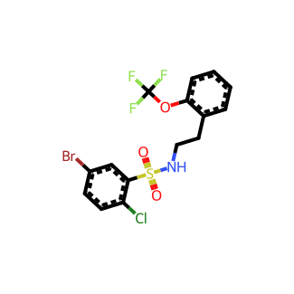 O=S(=O)(NCCc1ccccc1OC(F)(F)F)c1cc(Br)ccc1Cl